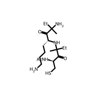 CCC(C)(N)C(=O)[C@@H](CCCCN)NC(C)(CC)C(=O)[C@@H](CS)NC(C)=O